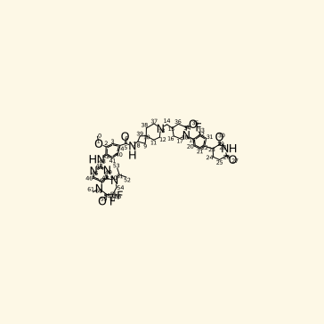 COc1cc(C(=O)NC2CC3(CCN(CC4CCN(c5ccc(C6CCC(=O)NC6=O)cc5F)C(=O)C4)CC3)C2)ccc1Nc1ncc2c(n1)N(C(C)C)CC(F)(F)C(=O)N2C